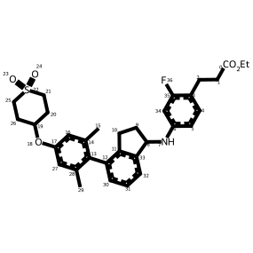 CCOC(=O)CCc1ccc(NC2CCc3c(-c4c(C)cc(OC5CCS(=O)(=O)CC5)cc4C)cccc32)cc1F